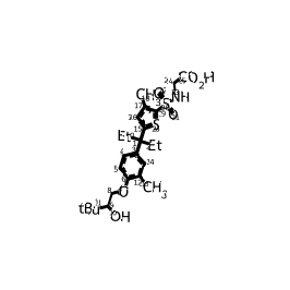 CCC(CC)(c1ccc(OCC(O)C(C)(C)C)c(C)c1)c1cc(C)c(S(=O)(=O)NCC(=O)O)s1